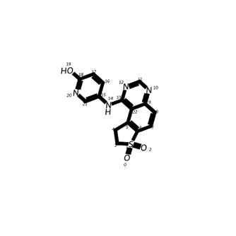 O=S1(=O)CCc2c1ccc1ncnc(Nc3ccc(O)nc3)c21